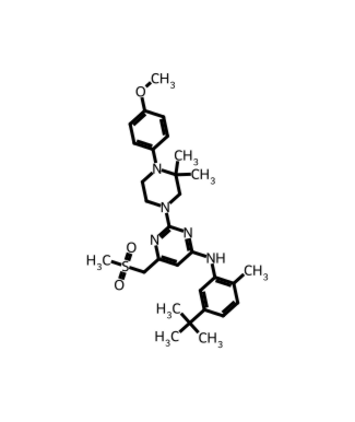 COc1ccc(N2CCN(c3nc(CS(C)(=O)=O)cc(Nc4cc(C(C)(C)C)ccc4C)n3)CC2(C)C)cc1